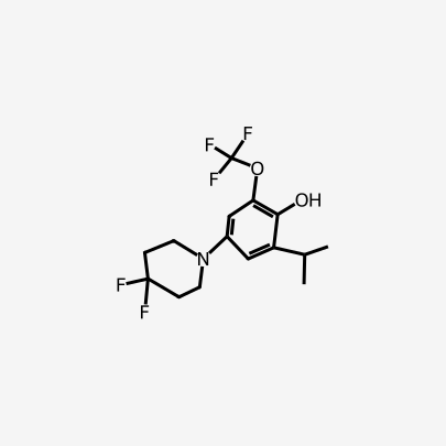 CC(C)c1cc(N2CCC(F)(F)CC2)cc(OC(F)(F)F)c1O